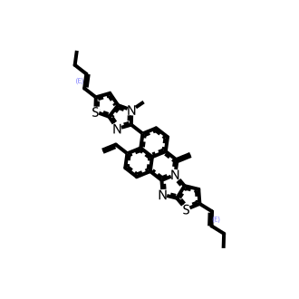 C=Cc1ccc2c3c1c(-c1nc4sc(/C=C/CC)cc4n1C)ccc3c(=C)n1c3cc(/C=C/CC)sc3nc21